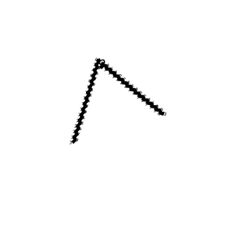 C=C(CCCCCCCCCCCCCCCCCCCCCCCCCCCCC)OC(=C)CCCCCCCCCCCCCCCCCCCCCCCCCCCCC